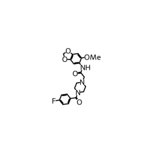 COc1cc2c(cc1NC(=O)CN1CCN(C(=O)c3ccc(F)cc3)CC1)OCO2